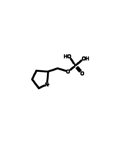 O=P(O)(O)OCC1CCC[N]1